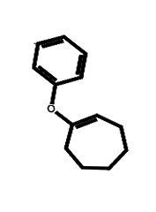 [c]1cccc(OC2=CCCCCC2)c1